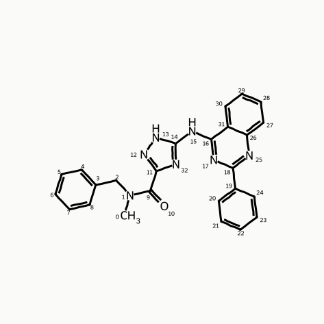 CN(Cc1ccccc1)C(=O)c1n[nH]c(Nc2nc(-c3ccccc3)nc3ccccc23)n1